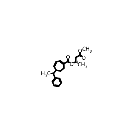 COC(=O)C[C@H](C)OC(=O)C1=CC=CC([C@H](C)c2ccccc2)CC1